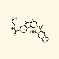 COc1cn2nccc2cc1Nc1ncnc2sc3c(c12)CCC(C(=O)N(C)CCO)C3